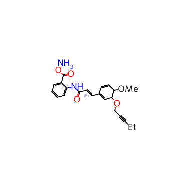 CCC#CCOC1C=C(/C=C/C(=O)Nc2ccccc2C(=O)ON)C=CC1OC